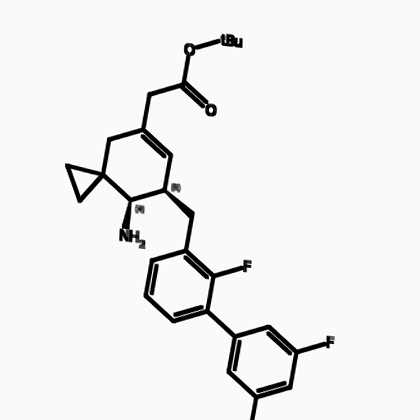 CC(C)(C)OC(=O)CC1=C[C@@H](Cc2cccc(-c3cc(F)cc(F)c3)c2F)[C@@H](N)C2(CC2)C1